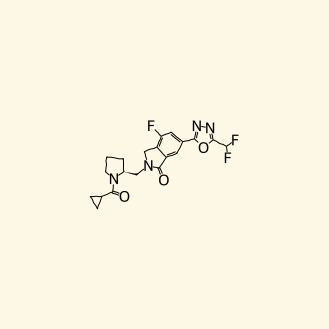 O=C1c2cc(-c3nnc(C(F)F)o3)cc(F)c2CN1C[C@@H]1CCCN1C(=O)C1CC1